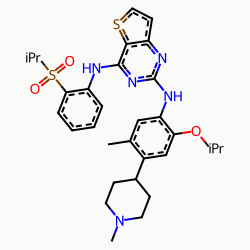 Cc1cc(Nc2nc(Nc3ccccc3S(=O)(=O)C(C)C)c3sccc3n2)c(OC(C)C)cc1C1CCN(C)CC1